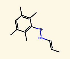 CC=CNNc1c(C)c(C)cc(C)c1C